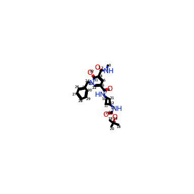 CNC(=O)c1cc(C(=O)NC2CC(NC(=O)OC(C)(C)C)C2)cn(Cc2ccccc2)c1=O